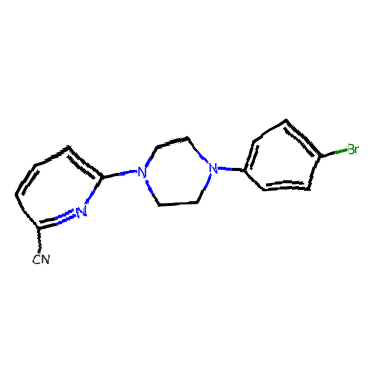 N#Cc1cccc(N2CCN(c3ccc(Br)cc3)CC2)n1